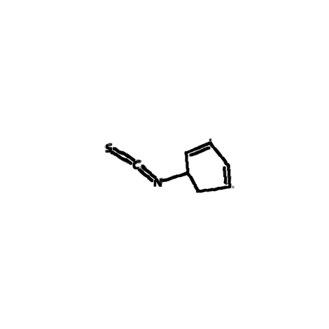 S=C=NC1C=[C]C=[C]C1